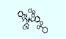 CC(CC#N)N(/N=C/c1cc(OC(=O)C2CCCCC2)ccc1OOCl)c1nc2ccccc2s1